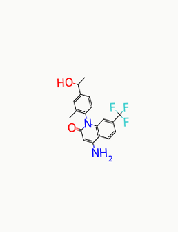 Cc1cc(C(C)O)ccc1-n1c(=O)cc(N)c2ccc(C(F)(F)F)cc21